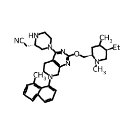 CC[C@H]1CN(C)[C@@H](COc2nc3c(c(N4CCN[C@@H](CC#N)C4)n2)CCN(c2cccc4cccc(C)c24)C3)CC1C